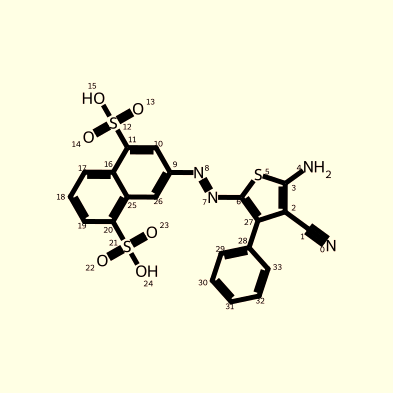 N#Cc1c(N)sc(N=Nc2cc(S(=O)(=O)O)c3cccc(S(=O)(=O)O)c3c2)c1-c1ccccc1